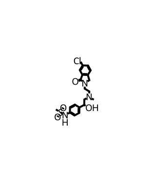 CN(CCN1Cc2ccc(Cl)cc2C1=O)CC(O)c1ccc(NS(C)(=O)=O)cc1